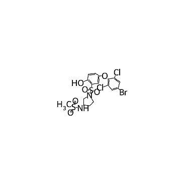 CS(=O)(=O)N[C@H]1CCN(S(=O)(=O)c2cc(Oc3c(Cl)cc(Br)cc3Cl)ccc2O)C1